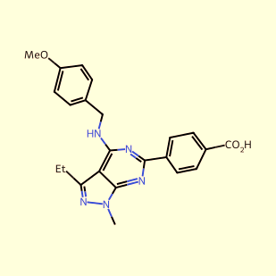 CCc1nn(C)c2nc(-c3ccc(C(=O)O)cc3)nc(NCc3ccc(OC)cc3)c12